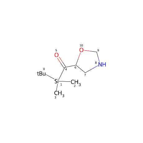 CC(C)(C)[Si](C)(C)C(=O)C1CNCO1